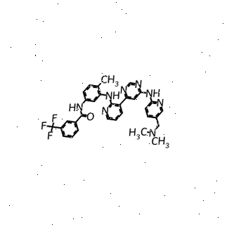 Cc1ccc(NC(=O)c2cccc(C(F)(F)F)c2)cc1Nc1ncccc1-c1cc(Nc2ccc(CN(C)C)cn2)ncn1